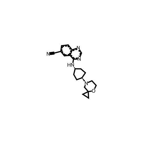 N#Cc1ccc2ncnc(N[C@H]3CC[C@H](N4CCOC5(CC5)C4)CC3)c2c1